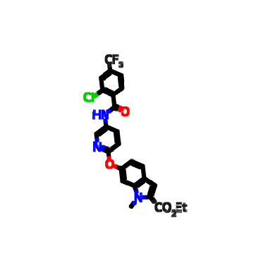 CCOC(=O)c1cc2ccc(Oc3ccc(NC(=O)c4ccc(C(F)(F)F)cc4Cl)cn3)cc2n1C